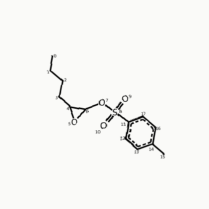 CCCCC1OC1OS(=O)(=O)c1ccc(C)cc1